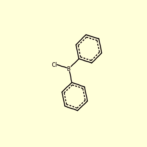 ClB(c1ccccc1)c1ccccc1